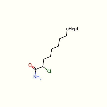 CCCCCCCCCCCCCC(Cl)C(N)=O